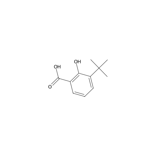 CC(C)(C)c1cccc(C(=O)O)c1O